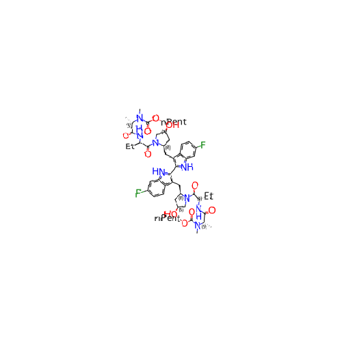 CCCCCOC(=O)N(C)[C@@H](C)C(=O)NC(CC)C(=O)N1C[C@@H](O)C[C@H]1Cc1c(-c2[nH]c3cc(F)ccc3c2C[C@@H]2C[C@H](O)CN2C(=O)[C@H](CC)NC(=O)[C@H](C)N(C)C(=O)OCCCCC)[nH]c2cc(F)ccc12